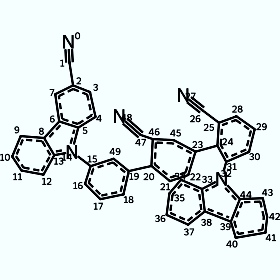 N#Cc1ccc2c(c1)c1ccccc1n2-c1cccc(-c2ccc(-c3c(C#N)cccc3-n3c4ccccc4c4ccccc43)cc2C#N)c1